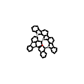 c1ccc2c(c1)-c1cccc3c(-n4c5c(ccc6c7ccccc7oc65)c5ccc6c7ccccc7n(-c7cccc8ccccc78)c6c54)ccc-2c13